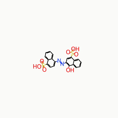 O=S(=O)(O)c1ccc(N=Nc2cc(S(=O)(=O)O)c3ccccc3c2O)c2ccccc12